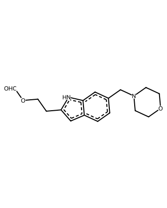 O=COCCc1cc2ccc(CN3CCOCC3)cc2[nH]1